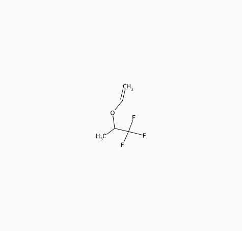 C=COC(C)C(F)(F)F